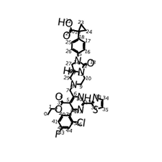 CCOC(=O)C1=C(CN2CCN3C(=O)N(c4ccc(C5(C(=O)O)CC5)cc4)C[C@@H]3C2)NC(c2nccs2)=N[C@H]1c1ccc(F)cc1Cl